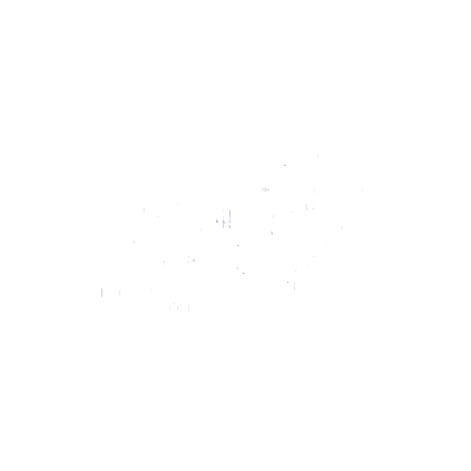 CC(O)c1cccc(Nc2ncnc3ccc4c(c23)CCS4(=O)=O)c1